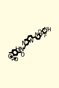 Cc1ccc(C(=O)NCc2cc3nc(-c4cccc(OC5CNCC5(F)F)n4)ccc3cn2)cc1S(C)(=O)=O